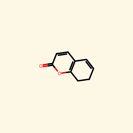 O=c1ccc2c(o1)CCC=C2